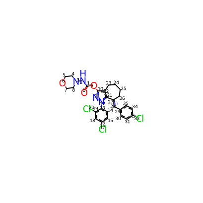 O=C(NN1CCOCC1)Oc1nn(-c2ccc(Cl)cc2Cl)c2c1CCCC/C2=C\c1ccc(Cl)cc1